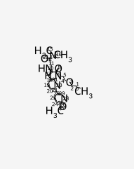 CCCOCCn1c(=O)c(NCC(=O)N(C)C)nc2ccc(-c3ccc(OC)nc3)nc21